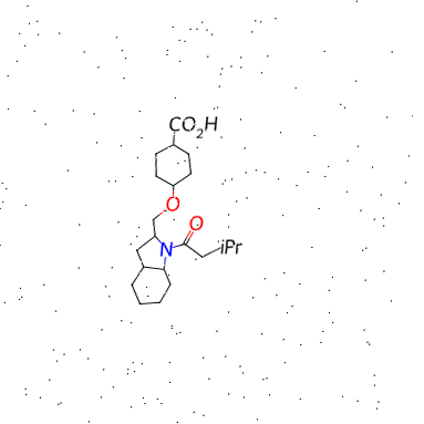 CC(C)CC(=O)N1C(COC2CCC(C(=O)O)CC2)CC2CCCCC21